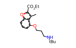 CCOC(=O)c1oc2cccc(OCCCNC(C)(C)C)c2c1C